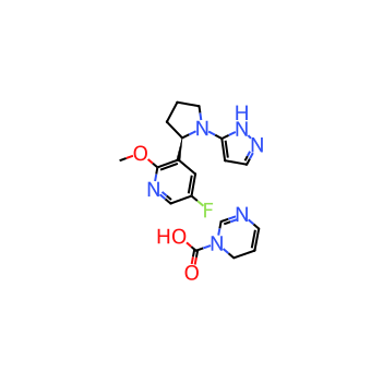 COc1ncc(F)cc1[C@H]1CCCN1c1ccn[nH]1.O=C(O)N1C=NC=CC1